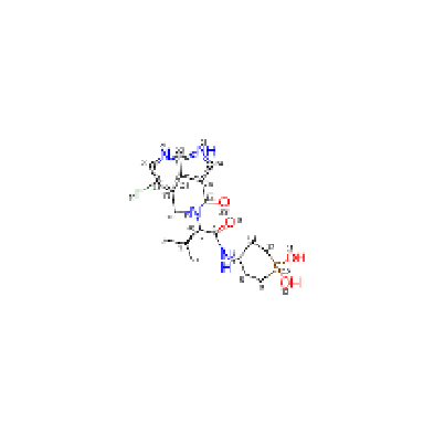 CC(C)[C@H](C(=O)NC1CCS(O)(O)CC1)N1Cc2c(F)cnc3[nH]cc(c23)C1=O